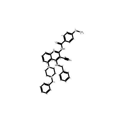 COc1ccc(C(=O)Nc2nc3cccc(N4CCN(Cc5ccccc5)CC4)c3c(NCc3ccccc3)c2C#N)cc1